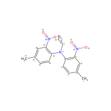 C=CN(c1ccc(C)cc1[N+](=O)[O-])c1ccc(C)cc1[N+](=O)[O-]